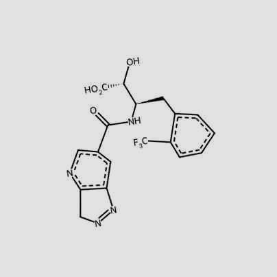 O=C(N[C@H](Cc1ccccc1C(F)(F)F)[C@@H](O)C(=O)O)c1cnc2c(c1)N=NC2